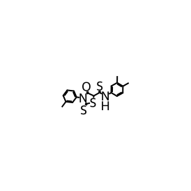 Cc1cccc(N2C(=O)C(C(=S)Nc3ccc(C)c(C)c3)SC2=S)c1